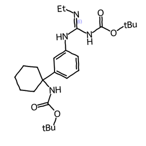 CC/N=C(/NC(=O)OC(C)(C)C)Nc1cccc(C2(NC(=O)OC(C)(C)C)CCCCC2)c1